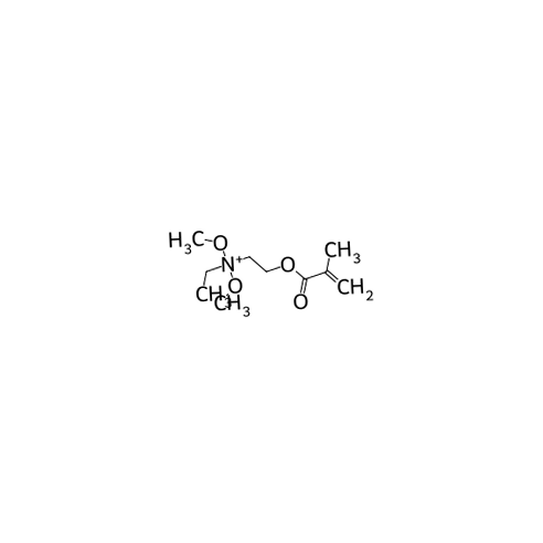 C=C(C)C(=O)OCC[N+](CC)(OC)OC